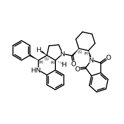 O=C([C@H]1CCCC[C@H]1N1C(=O)c2ccccc2C1=O)N1CC[C@H]2[C@H](c3ccccc3)Nc3ccccc3[C@@H]21